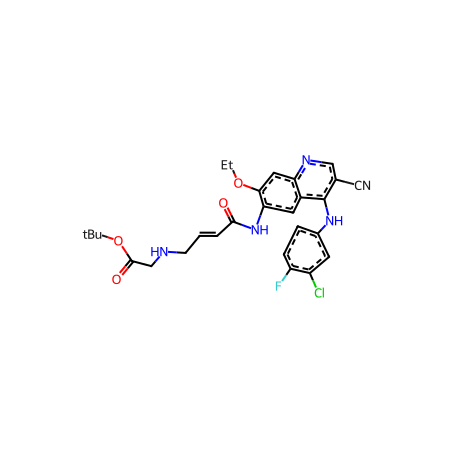 CCOc1cc2ncc(C#N)c(Nc3ccc(F)c(Cl)c3)c2cc1NC(=O)C=CCNCC(=O)OC(C)(C)C